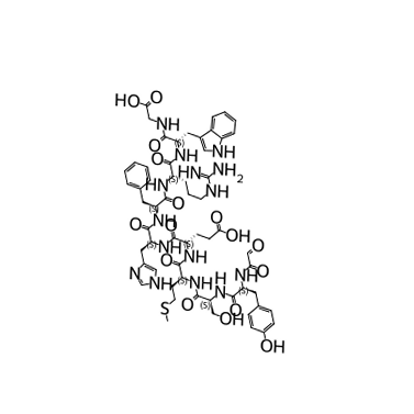 CSCC[C@H](NC(=O)[C@H](CO)NC(=O)[C@H](Cc1ccc(O)cc1)NC(=O)C=O)C(=O)N[C@@H](CCC(=O)O)C(=O)N[C@@H](Cc1c[nH]cn1)C(=O)N[C@@H](Cc1ccccc1)C(=O)N[C@@H](CCCNC(=N)N)C(=O)N[C@@H](Cc1c[nH]c2ccccc12)C(=O)NCC(=O)O